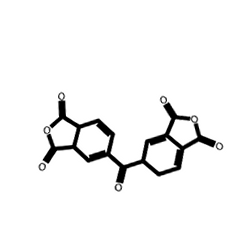 O=C1OC(=O)C2=CC(C(=O)C3=CC4C(=O)OC(=O)C4C=C3)CC=C12